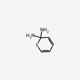 NC1(N)C=CC=CS1